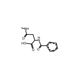 CNC(=O)CC(NC(=O)c1ccccc1)C(=O)O